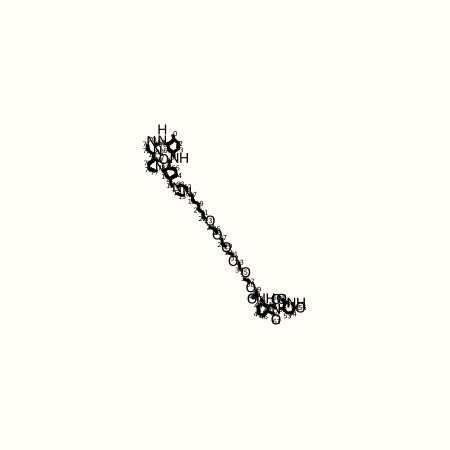 Cc1ccc(NC(=O)c2ccc(CN3CCN(CCCCCCOCCOCCOCCOCCOCCOCC(=O)Nc4cccc5c4C(=O)N(C4CCC(=O)NC4=O)C5=O)CC3)cc2)cc1Nc1nccc(-c2cccnc2)n1